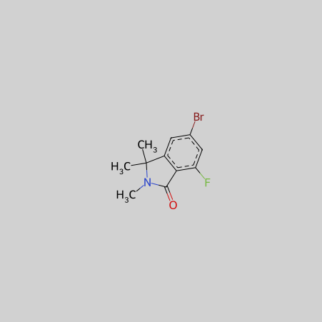 CN1C(=O)c2c(F)cc(Br)cc2C1(C)C